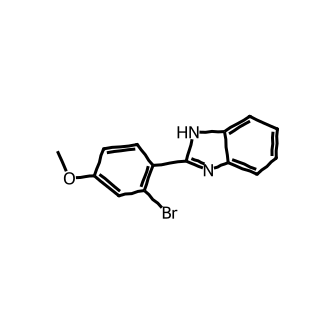 COc1ccc(-c2nc3ccccc3[nH]2)c(Br)c1